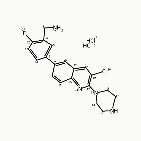 Cl.Cl.NCc1cc(-c2ccc3nc(N4CCNCC4)c(Cl)cc3c2)ccc1F